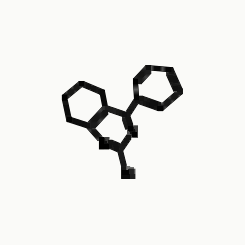 CCc1nc2c(c(-c3ccccc3)n1)CCCC2